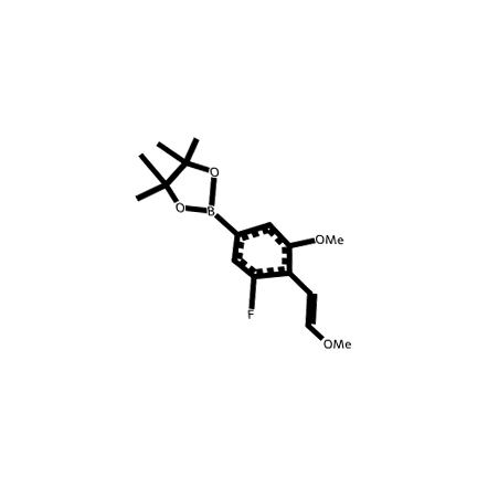 COC=Cc1c(F)cc(B2OC(C)(C)C(C)(C)O2)cc1OC